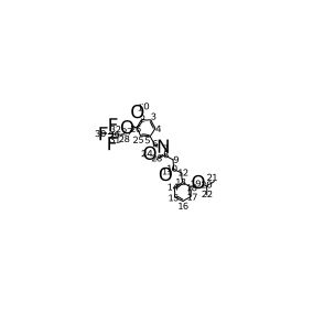 COc1ccc(-c2nc(CC(=O)Cc3ccccc3OC(C)C)co2)cc1OCC(F)(F)F